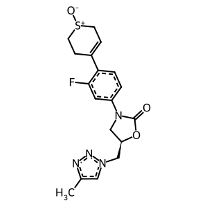 Cc1cn(C[C@H]2CN(c3ccc(C4=CC[S+]([O-])CC4)c(F)c3)C(=O)O2)nn1